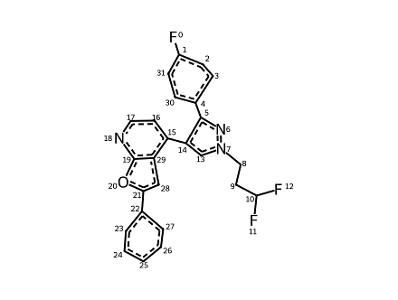 Fc1ccc(-c2nn(CCC(F)F)cc2-c2ccnc3oc(-c4ccccc4)cc23)cc1